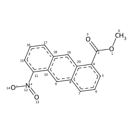 COC(=O)c1cccc2cc3c([N+](=O)[O-])cccc3cc12